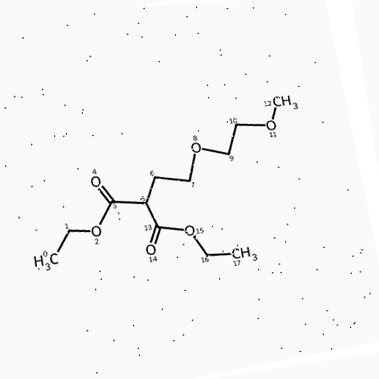 CCOC(=O)C(CCOCCOC)C(=O)OCC